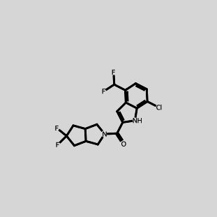 O=C(c1cc2c(C(F)F)ccc(Cl)c2[nH]1)N1CC2CC(F)(F)CC2C1